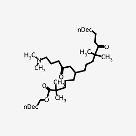 CCCCCCCCCCCCC(=O)C(C)(C)CCCC(CCCC(C)(C)C(=O)OCCCCCCCCCCC)CC(=O)CCCN(C)C